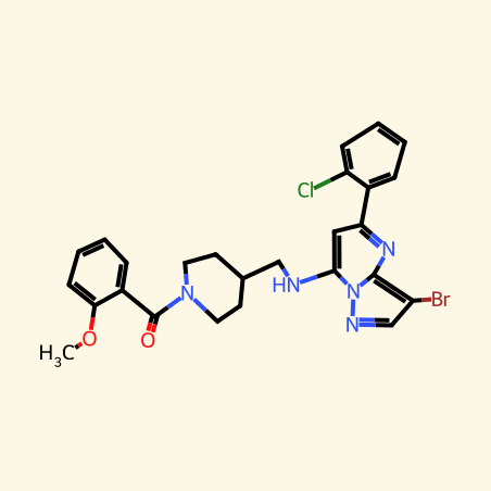 COc1ccccc1C(=O)N1CCC(CNc2cc(-c3ccccc3Cl)nc3c(Br)cnn23)CC1